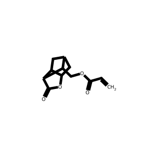 C=CC(=O)OCC1C2CC3OC(=O)C1C3C2